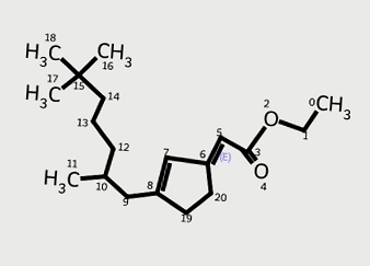 CCOC(=O)/C=C1/C=C(CC(C)CCCC(C)(C)C)CC1